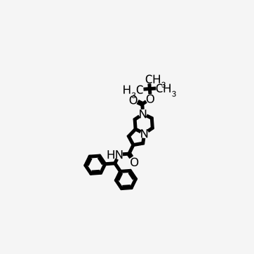 CC(C)(C)OC(=O)N1CCN2CC(C(=O)NC(c3ccccc3)c3ccccc3)CC2C1